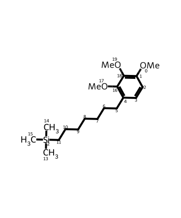 COc1ccc(CCCCCCC[Si](C)(C)C)c(OC)c1OC